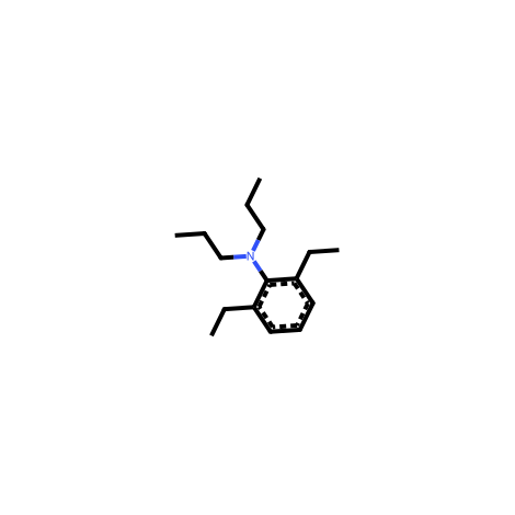 CCCN(CCC)c1c(CC)cccc1CC